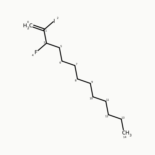 C=C(I)C(F)CCCCCCCCCC